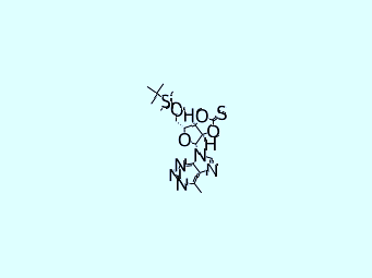 Cc1nnnc2c1ncn2[C@@H]1O[C@H](CO[Si](C)(C)C(C)(C)C)[C@H]2OC(=S)O[C@H]21